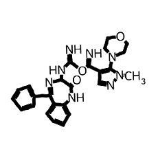 Cn1ncc(C(=N)OC(=N)NC2N=C(c3ccccc3)c3ccccc3NC2=O)c1N1CCOCC1